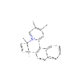 Cc1cc2[n+](cc1C)C1(C)C=CC1(C)c1ccc3ccccc3c1-2